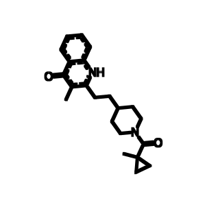 Cc1c(CCC2CCN(C(=O)C3(C)CC3)CC2)[nH]c2ccccc2c1=O